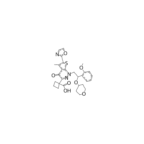 COc1ccccc1C(Cn1nc(C2(C(=O)O)CCC2)c(=O)c2c(C)c(-c3ncco3)sc21)OC1CCOCC1